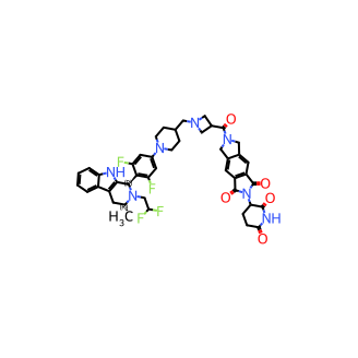 C[C@@H]1Cc2c([nH]c3ccccc23)[C@@H](c2c(F)cc(N3CCC(CN4CC(C(=O)N5Cc6cc7c(cc6C5)C(=O)N(C5CCC(=O)NC5=O)C7=O)C4)CC3)cc2F)N1CC(F)F